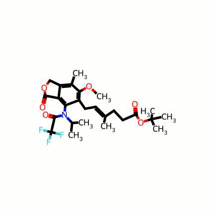 COc1c(C)c2c(c(N(C(=O)C(F)(F)F)C(C)C)c1C/C=C(\C)CCC(=O)OC(C)(C)C)C(=O)OC2